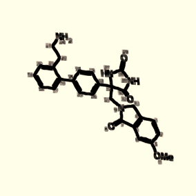 COc1ccc2c(c1)C(=O)N(CC1(c3ccc(-c4ccccc4CCN)cc3)NC(=O)NC1=O)C2